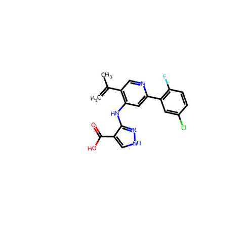 C=C(C)c1cnc(-c2cc(Cl)ccc2F)cc1Nc1n[nH]cc1C(=O)O